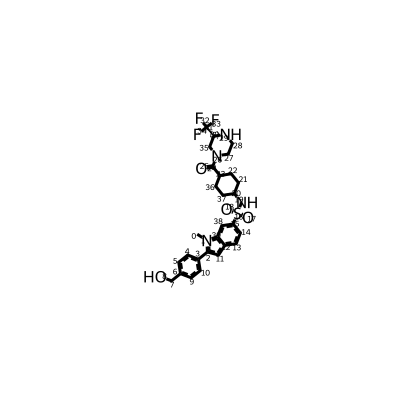 Cn1c(-c2ccc(CO)cc2)cc2ccc(S(=O)(=O)NC3CCC(C(=O)N4CCN[C@H](C(F)(F)F)C4)CC3)cc21